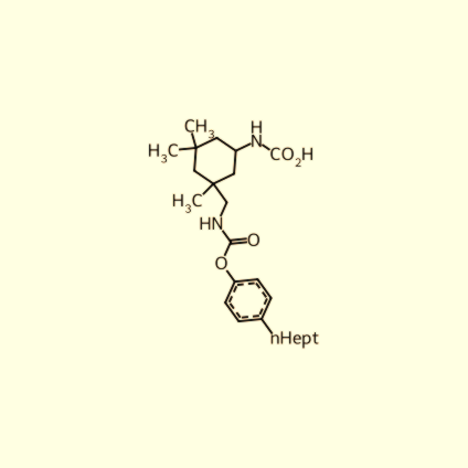 CCCCCCCc1ccc(OC(=O)NCC2(C)CC(NC(=O)O)CC(C)(C)C2)cc1